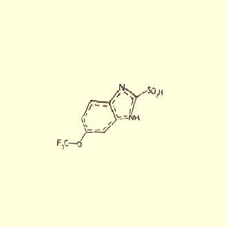 O=S(=O)(O)c1nc2ccc(OC(F)(F)F)cc2[nH]1